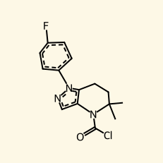 CC1(C)CCc2c(cnn2-c2ccc(F)cc2)N1C(=O)Cl